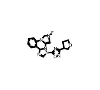 FN1C=C2N(C1)c1ccccc1C1N=CN(c3nc(C4CCOC4)no3)N21